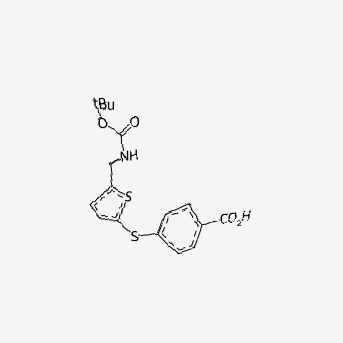 CC(C)(C)OC(=O)NCc1ccc(Sc2ccc(C(=O)O)cc2)s1